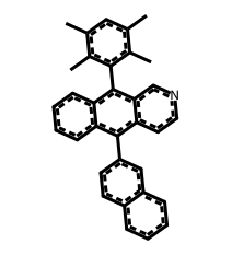 Cc1cc(C)c(C)c(-c2c3ccccc3c(-c3ccc4ccccc4c3)c3ccncc23)c1C